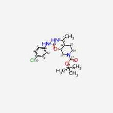 CC(NC(=O)Nc1ccc(Cl)cc1)C1CCN(C(=O)OC(C)(C)C)CC1